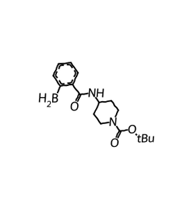 Bc1ccccc1C(=O)NC1CCN(C(=O)OC(C)(C)C)CC1